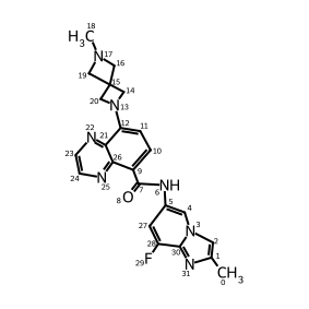 Cc1cn2cc(NC(=O)c3ccc(N4CC5(CN(C)C5)C4)c4nccnc34)cc(F)c2n1